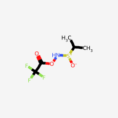 CC(C)[S+]([O-])NOC(=O)C(F)(F)F